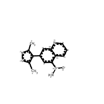 Cc1noc(C)c1-c1cc([S+](N)[O-])c2cccnc2c1